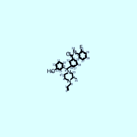 C=CCN1C[C@H](C)N([C@@H](c2cccc(O)c2)c2cccc(C(=O)N(C)c3ccccc3F)c2)C[C@H]1C